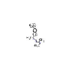 CC(=C/C(=O)O)/C=C/C=C(/C)C1=Cc2cc(C34CC5CC(CC(C5)C3)C4)ccc2OC1